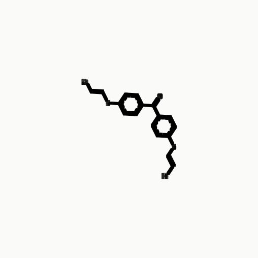 CCC=CSc1ccc(C(=O)c2ccc(SC=CCC)cc2)cc1